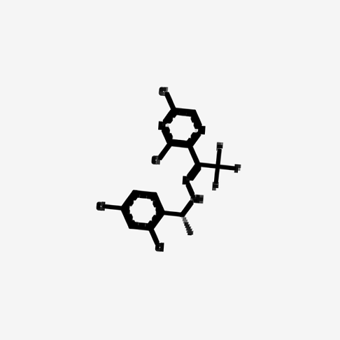 C[C@@H](N/N=C(/c1ncc(Cl)nc1Cl)C(F)(F)F)c1ccc(Cl)cc1Cl